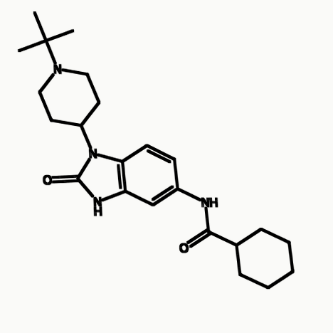 CC(C)(C)N1CCC(n2c(=O)[nH]c3cc(NC(=O)C4CCCCC4)ccc32)CC1